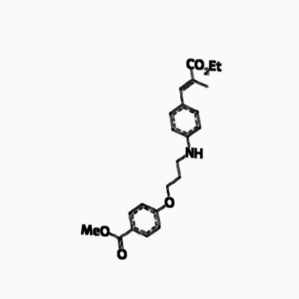 CCOC(=O)/C(C)=C/c1ccc(NCCCOc2ccc(C(=O)OC)cc2)cc1